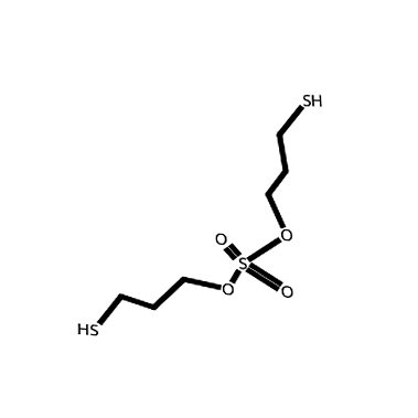 O=S(=O)(OCCCS)OCCCS